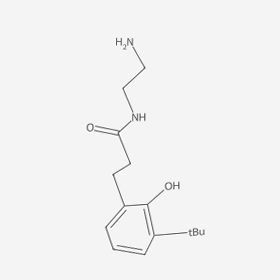 CC(C)(C)c1cccc(CCC(=O)NCCN)c1O